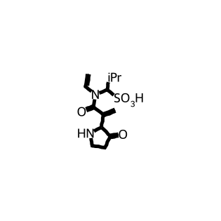 C=CN(C(=O)C(=C)C1NCCC1=O)C(C(C)C)S(=O)(=O)O